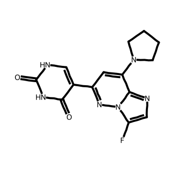 O=c1[nH]cc(-c2cc(N3CCCC3)c3ncc(F)n3n2)c(=O)[nH]1